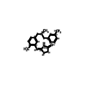 Cc1ccc(CN(C)Cc2cccc(C(F)(F)F)c2)cc1N=C1NC(=O)CS1